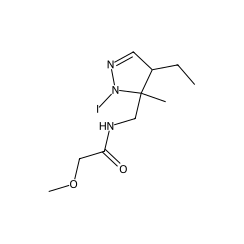 CCC1C=NN(I)C1(C)CNC(=O)COC